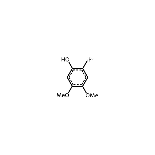 COc1cc(O)c(C(C)C)cc1OC